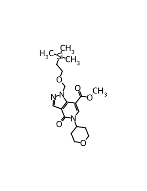 COC(=O)c1cn(C2CCOCC2)c(=O)c2cnn(COCC[Si](C)(C)C)c12